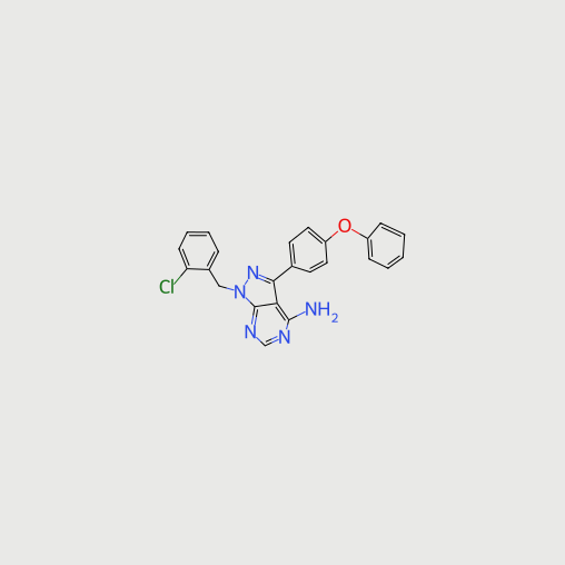 Nc1ncnc2c1c(-c1ccc(Oc3ccccc3)cc1)nn2Cc1ccccc1Cl